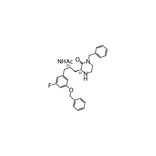 CC(=O)N[C@@H](Cc1cc(F)cc(OCc2ccccc2)c1)C[C@@H]1NCCN(Cc2ccccc2)C1=O